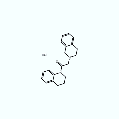 Cl.O=C(CN1CCc2ccccc2C1)N1CCCc2ccccc21